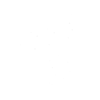 CC1(C)C(C=C(Cl)C(F)(F)F)C1C(=O)OC1CC(Cc2cccc(F)c2)c2ccccc21